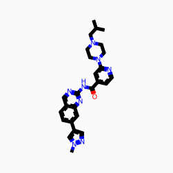 CC(C)CN1CCN(c2cc(C(=O)Nc3ncc4ccc(-c5cnn(C)c5)cc4n3)ccn2)CC1